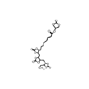 CCC1OC(=O)OC1CC1OC(=O)OC1CC1OC(=O)OC1CCCCCCCC(=O)OC1COC(=O)OC1